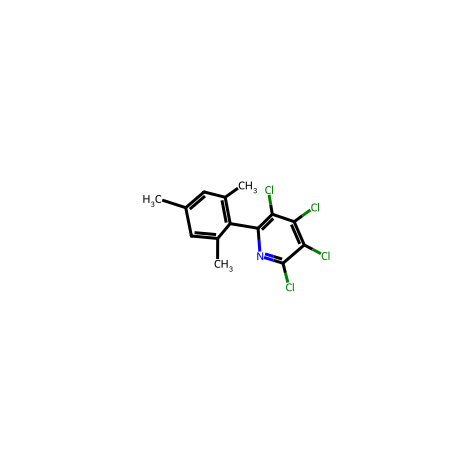 Cc1cc(C)c(-c2nc(Cl)c(Cl)c(Cl)c2Cl)c(C)c1